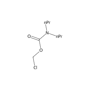 CCCN(CCC)C(=O)OCCl